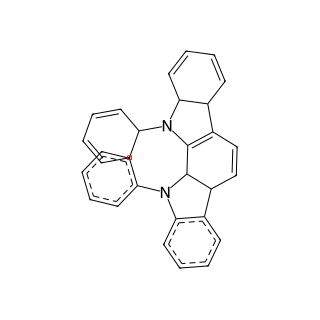 C1=CCC(N2C3=C(C=CC4c5ccccc5N(c5ccccc5)C34)C3C=CC=CC32)C=C1